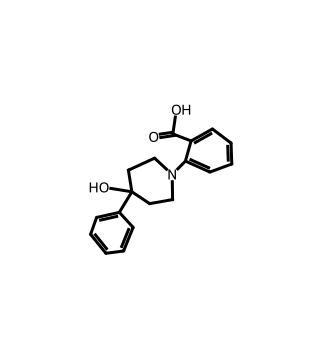 O=C(O)c1ccccc1N1CCC(O)(c2ccccc2)CC1